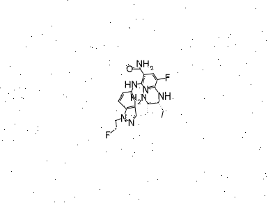 CC[C@@H](Nc1nc(Nc2ccc3c(cnn3CCF)c2)c(C(N)=O)cc1F)[C@H](C)N